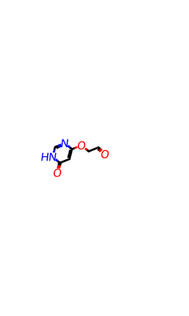 O=CCOc1cc(=O)[nH]cn1